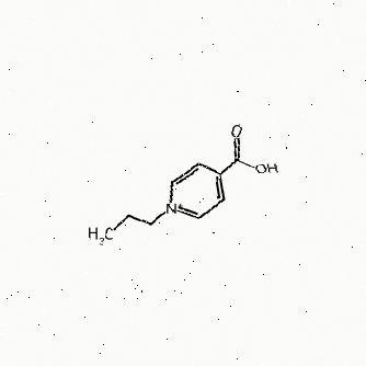 CCC[n+]1ccc(C(=O)O)cc1